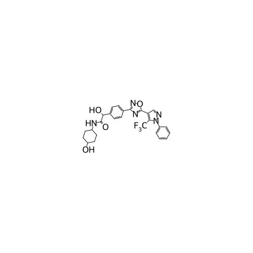 O=C(NC1CCC(O)CC1)C(O)c1ccc(-c2noc(-c3cnn(-c4ccccc4)c3C(F)(F)F)n2)cc1